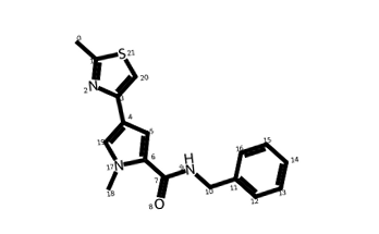 Cc1nc(-c2cc(C(=O)NCc3ccccc3)n(C)c2)cs1